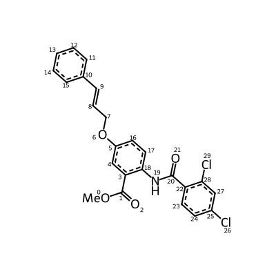 COC(=O)c1cc(OC/C=C/c2ccccc2)ccc1NC(=O)c1ccc(Cl)cc1Cl